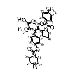 Cc1ccc(S(=O)(=O)N2CCC[C@H]2C(=O)N(c2ccc(OC(=O)N3CCNCC3)cc2)[C@@H](C)C(=O)O)cc1